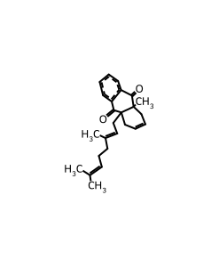 CC(C)=CCC/C(C)=C/CC12CC=CCC1(C)C(=O)c1ccccc1C2=O